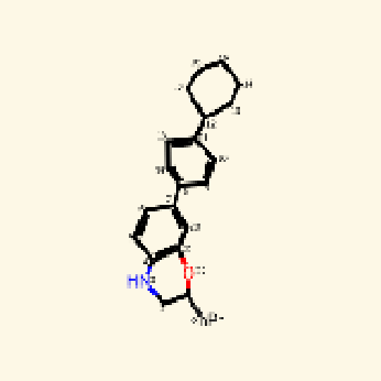 CCCC1CNc2ccc(-c3ccc(C4CCCCC4)cc3)cc2O1